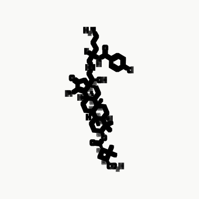 CC(C)C1=C2[C@H]3CC[C@@H]4[C@@]5(C)CC[C@H](OC(=O)[C@H]6C[C@@H](C(=O)O)C6(C)C)C(C)(C)[C@@H]5CC[C@@]4(C)[C@]3(C)CC[C@@]2([C@@H](O)CNCC(F)(CCCN)NC(=O)c2ccc(Cl)cc2)CC1=O